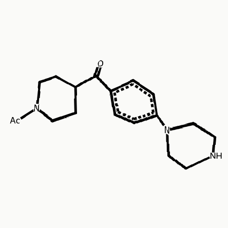 CC(=O)N1CCC(C(=O)c2ccc(N3CCNCC3)cc2)CC1